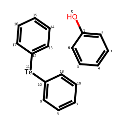 Oc1ccccc1.c1ccc([Te]c2ccccc2)cc1